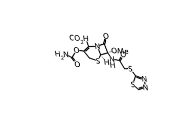 CO[C@@]1(NC(=O)CSc2nncs2)C(=O)N2C(C(=O)O)=C(OC(N)=O)CS[C@@H]21